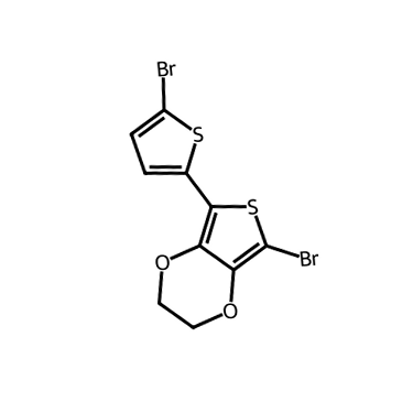 Brc1ccc(-c2sc(Br)c3c2OCCO3)s1